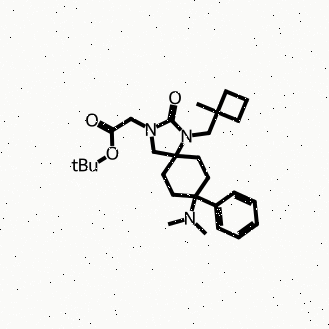 CN(C)C1(c2ccccc2)CCC2(CC1)CN(CC(=O)OC(C)(C)C)C(=O)N2CC1(C)CCC1